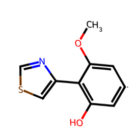 COc1c[c]cc(O)c1-c1cscn1